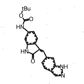 CC(C)(C)OC(=O)Nc1ccc2c(c1)NC(=O)/C2=C\c1ccc2cn[nH]c2c1